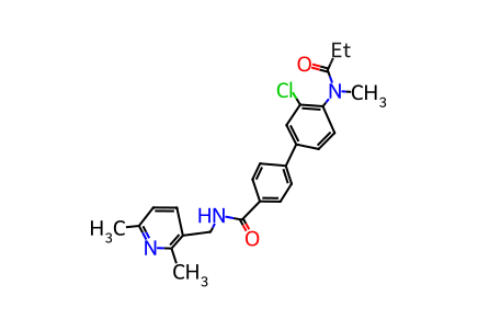 CCC(=O)N(C)c1ccc(-c2ccc(C(=O)NCc3ccc(C)nc3C)cc2)cc1Cl